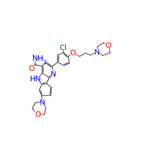 NC(=O)c1cc(-c2ccc(OCCCN3CCOCC3)c(Cl)c2)nc2c1[nH]c1cc(N3CCOCC3)ccc12